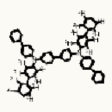 [2H]c1cc([2H])c([2H])c(-c2c([2H])c([2H])c(N(c3ccc(-c4ccccc4)cc3)c3ccc(-c4ccc(N(c5ccc(-c6ccccc6)cc5)c5c([2H])c([2H])c(-c6c([2H])c([2H])cc([2H])c6[2H])c([2H])c5[2H])cc4)cc3)c([2H])c2[2H])c1[2H]